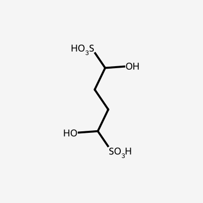 O=S(=O)(O)C(O)CCC(O)S(=O)(=O)O